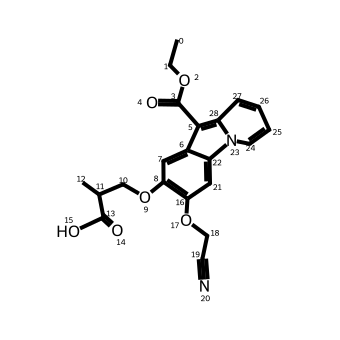 CCOC(=O)c1c2cc(OCC(C)C(=O)O)c(OCC#N)cc2n2ccccc12